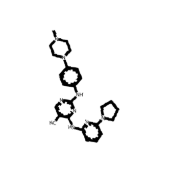 CN1CCN(c2ccc(Nc3ncc(C#N)c(Nc4cccc(N5CCCC5)n4)n3)cc2)CC1